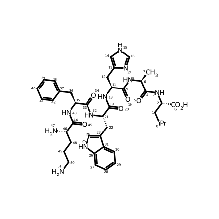 CC(C)C[C@H](NC(=O)[C@H](C)NC(=O)[C@H](Cc1c[nH]cn1)NC(=O)[C@H](Cc1c[nH]c2ccccc12)NC(=O)[C@H](Cc1ccccc1)NC(=O)[C@@H](N)CCCN)C(=O)O